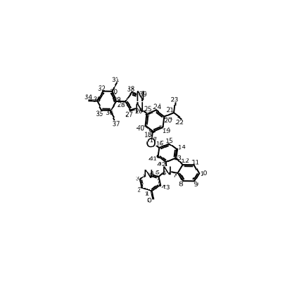 Cc1ccnc(-n2c3ccccc3c3ccc(Oc4cc(C(C)C)cc(-n5cc(-c6c(C)cc(C)cc6C)cn5)c4)cc32)c1